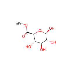 CCCOC(=O)[C@H]1O[C@@H](O)[C@H](O)[C@@H](O)[C@@H]1O